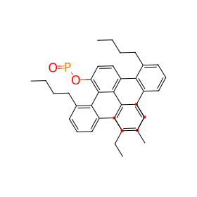 CCCCc1cccc(CCCC)c1-c1ccc(OP=O)c(-c2c(CCCC)cccc2CCCC)c1-c1ccccc1